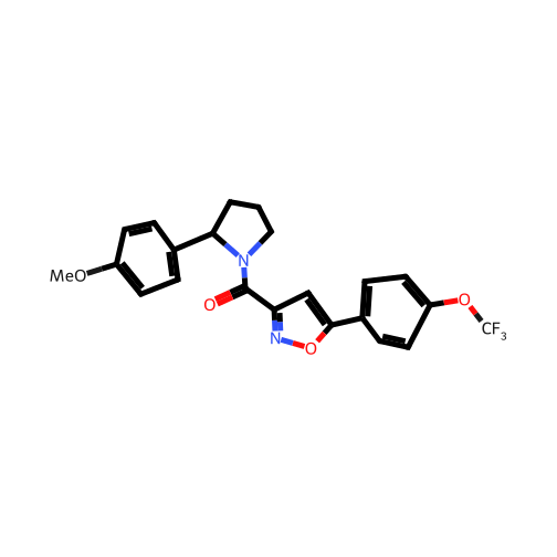 COc1ccc(C2CCCN2C(=O)c2cc(-c3ccc(OC(F)(F)F)cc3)on2)cc1